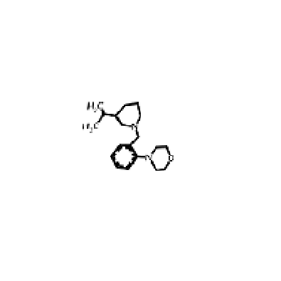 CC(C)C1CCCN(Cc2ccccc2N2CCOCC2)C1